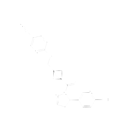 Cc1ccc(C2CC=NN2C(=O)C23CC(COc4ccc(C#N)cn4)(C2)C3)cn1